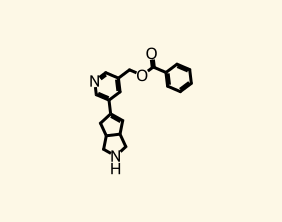 O=C(OCc1cncc(C2=CC3CNCC3C2)c1)c1ccccc1